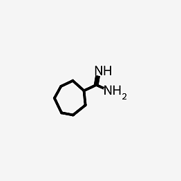 N=C(N)C1CCCCCC1